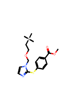 COC(=O)c1ccc(Sc2nccn2COCC[Si](C)(C)C)cc1